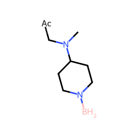 BN1CCC(N(C)CC(C)=O)CC1